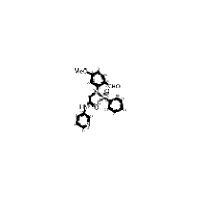 COc1ccc(C=O)c(N(CC(=O)Nc2cccnc2)S(=O)(=O)c2ccccc2)c1